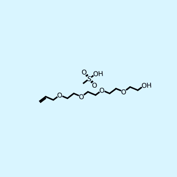 C=CCOCCOCCOCCOCCO.CS(=O)(=O)O